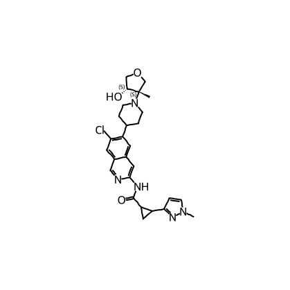 Cn1ccc(C2CC2C(=O)Nc2cc3cc(C4CCN([C@@]5(C)COC[C@H]5O)CC4)c(Cl)cc3cn2)n1